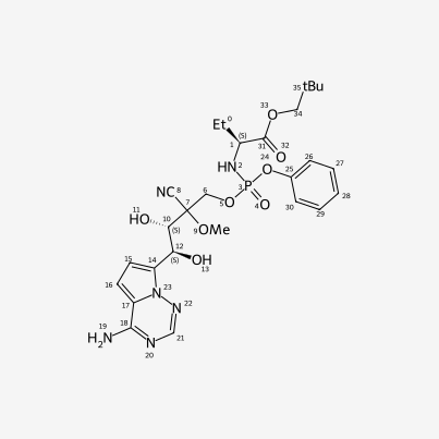 CC[C@H](NP(=O)(OCC(C#N)(OC)[C@@H](O)[C@@H](O)c1ccc2c(N)ncnn12)Oc1ccccc1)C(=O)OCC(C)(C)C